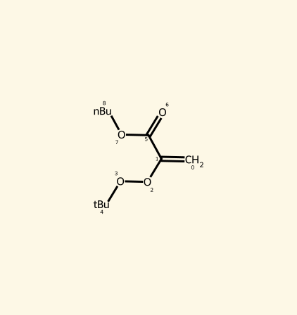 C=C(OOC(C)(C)C)C(=O)OCCCC